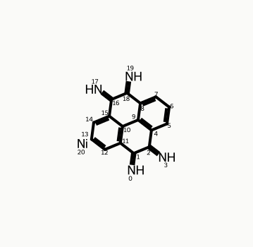 N=c1c(=N)c2cccc3c2-c2c1cccc2c(=N)c3=N.[Ni]